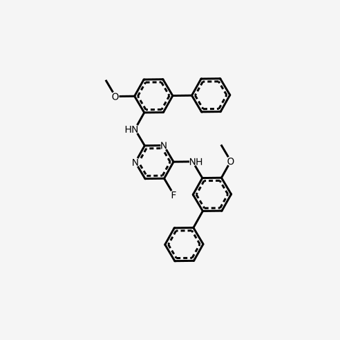 COc1ccc(-c2ccccc2)cc1Nc1ncc(F)c(Nc2cc(-c3ccccc3)ccc2OC)n1